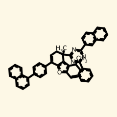 CC1CC=Cc2oc3c(c21)C(C)(c1nc(-c2ccccc2)nc(-c2ccc4ccccc4c2)n1)CC=C3c1ccc(-c2cccc3ccccc23)cc1